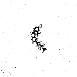 CC1(C)c2cc(Cl)ccc2C(=O)N1c1cncc(C2CN(S(=O)(=O)C3CC3)C2)c1